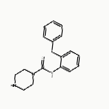 O=C(Nc1ccccc1Sc1ccccc1)N1CCNCC1